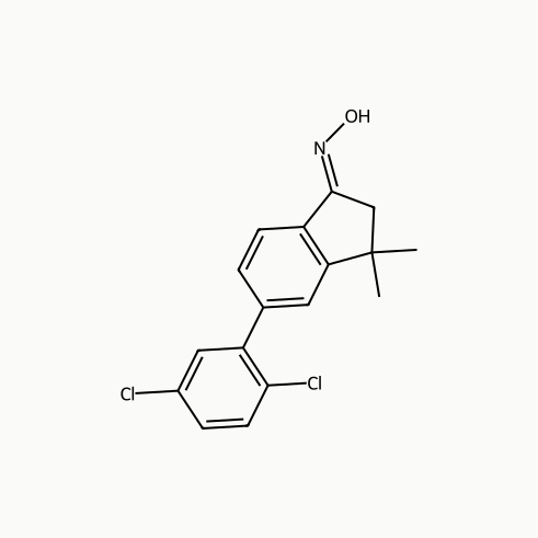 CC1(C)C/C(=N\O)c2ccc(-c3cc(Cl)ccc3Cl)cc21